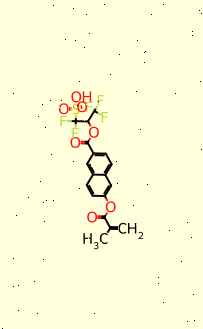 C=C(C)C(=O)Oc1ccc2cc(C(=O)OC(C(F)(F)F)C(F)(F)S(=O)(=O)O)ccc2c1